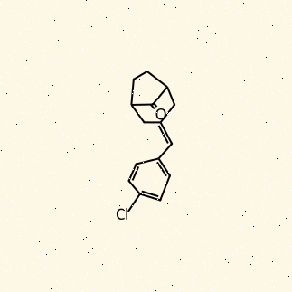 O=C1C2CCC1CC(=Cc1ccc(Cl)cc1)C2